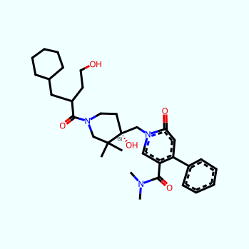 CN(C)C(=O)c1cn(C[C@]2(O)CCN(C(=O)C(CCO)CC3CCCCC3)CC2(C)C)c(=O)cc1-c1ccccc1